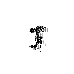 N=C(N)NCCC[C@H](N)C(=O)N1CCC[C@H]1C(=O)NCC(=O)N[C@@H](Cc1ccccc1)C(=O)N[C@@H](CO)C(=O)O